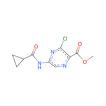 COC(=O)c1ncc(NC(=O)C2CC2)nc1Cl